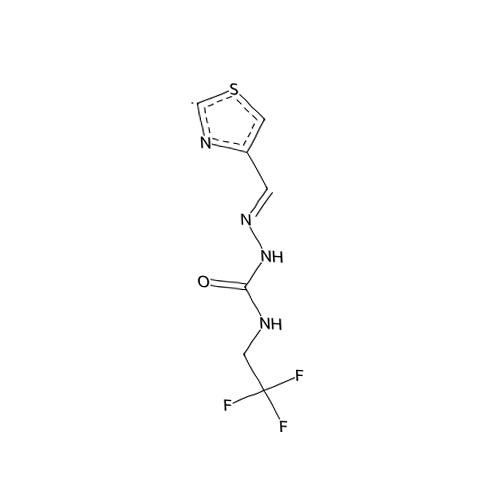 O=C(NCC(F)(F)F)N/N=C/c1cs[c]n1